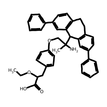 CCOC(Cc1ccc(OCC(C)(N)C2c3cc(-c4ccccc4)ccc3CCc3ccc(-c4ccccc4)cc32)cc1)C(=O)O